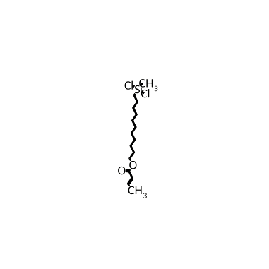 CC=CC(=O)OCCCCCCCCCCC[Si](C)(Cl)Cl